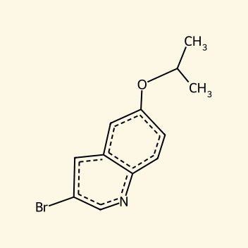 CC(C)Oc1ccc2ncc(Br)cc2c1